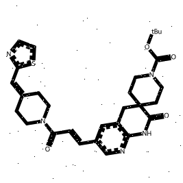 CC(C)(C)OC(=O)N1CCC2(CC1)Cc1cc(C=CC(=O)N3CCC(=Cc4nccs4)CC3)cnc1NC2=O